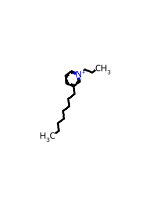 CCCCCCCCc1ccc[n+](CCC)c1